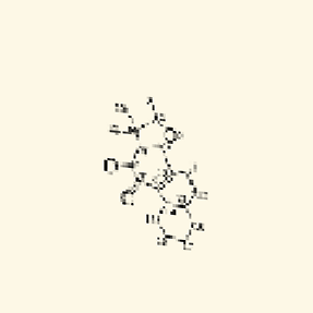 CC1OC2=C(C(=O)C(=O)c3c2ccc2c3CCCC2)C1(C)C